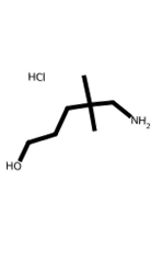 CC(C)(CN)CCCO.Cl